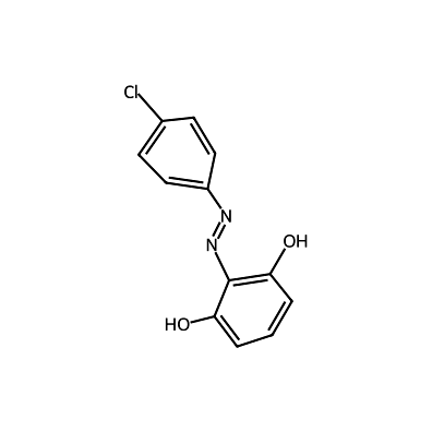 Oc1cccc(O)c1N=Nc1ccc(Cl)cc1